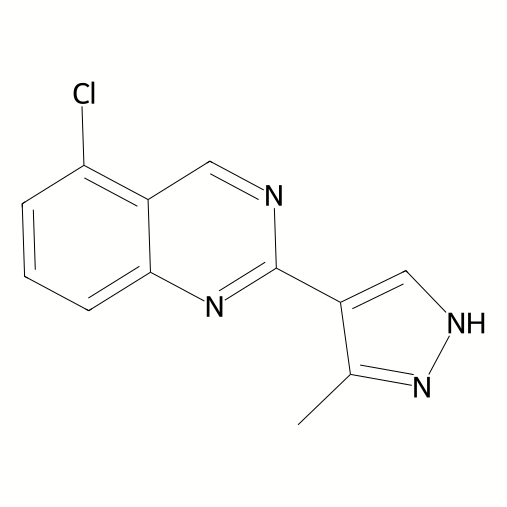 Cc1n[nH]cc1-c1ncc2c(Cl)cccc2n1